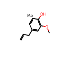 C=CCc1ccc(O)c(OC)c1.[Mo]